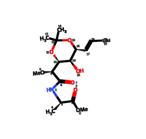 COC(=O)[C@H](C)NC(=O)[C@H](OC)[C@@H]1OC(C)(C)O[C@H](/C=C/C(C)(C)C)[C@H]1O